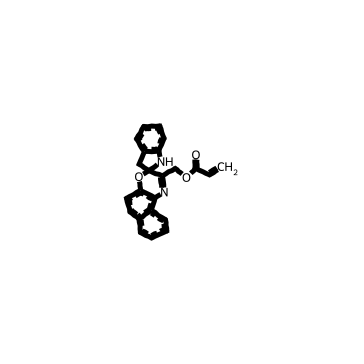 C=CC(=O)OCC1=Nc2c(ccc3ccccc23)OC12Cc1ccccc1N2